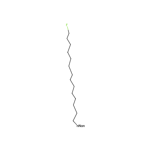 CCCCCCCCCCCCCCCCCCCCCCCF